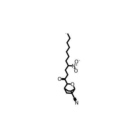 [CH2]CCCCCCC(CCC(=O)[C]1OC2CCC1CC2C#N)[N+](=O)[O-]